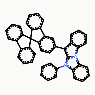 c1ccc(-n2c3ccccc3n3c4ccccc4c(-c4ccc5c(c4)-c4ccccc4C54c5ccccc5-c5ccccc54)c23)cc1